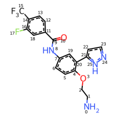 NCCOc1ccc(NC(=O)c2ccc(C(F)(F)F)c(F)c2)cc1-c1ccn[nH]1